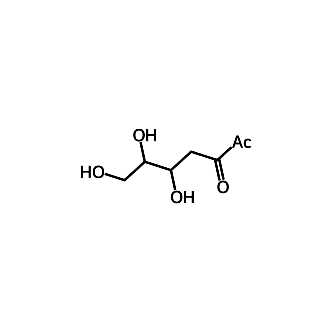 CC(=O)C(=O)CC(O)C(O)CO